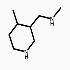 CNCC1CNCCC1C